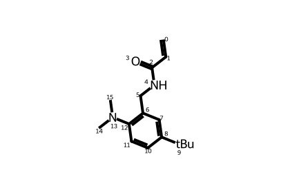 C=CC(=O)NCc1cc(C(C)(C)C)ccc1N(C)C